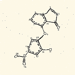 O=C1N=Cc2cccc(Oc3ccc([N+](=O)[O-])cc3Cl)c21